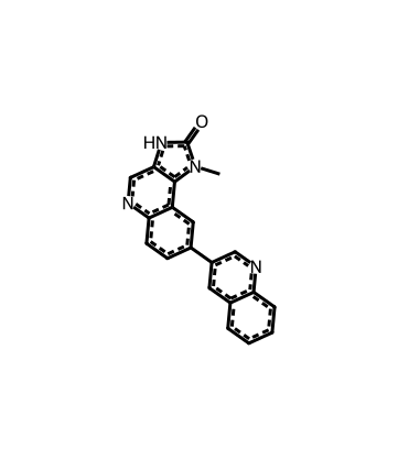 Cn1c(=O)[nH]c2cnc3ccc(-c4cnc5ccccc5c4)cc3c21